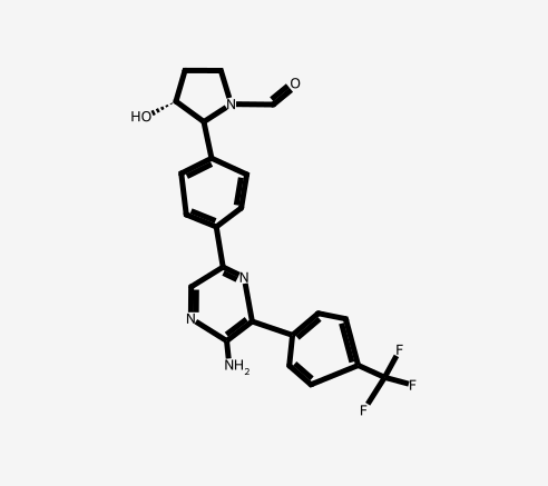 Nc1ncc(-c2ccc(C3[C@H](O)CCN3C=O)cc2)nc1-c1ccc(C(F)(F)F)cc1